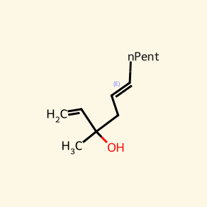 C=CC(C)(O)C/C=C/CCCCC